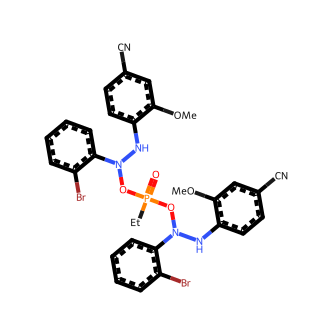 CCP(=O)(ON(Nc1ccc(C#N)cc1OC)c1ccccc1Br)ON(Nc1ccc(C#N)cc1OC)c1ccccc1Br